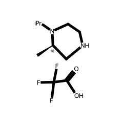 CC(C)N1CCNC[C@H]1C.O=C(O)C(F)(F)F